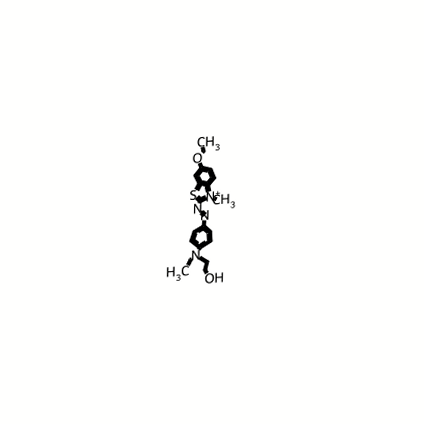 CCOc1ccc2c(c1)sc(/N=N/c1ccc(N(CC)CCO)cc1)[n+]2C